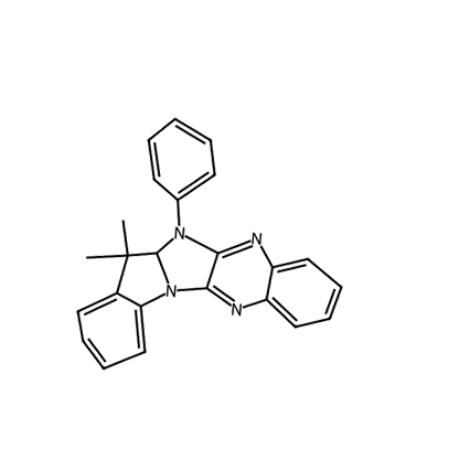 CC1(C)c2ccccc2N2c3nc4ccccc4nc3N(c3ccccc3)C21